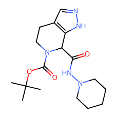 CC(C)(C)OC(=O)N1CCc2cn[nH]c2C1C(=O)NN1CCCCC1